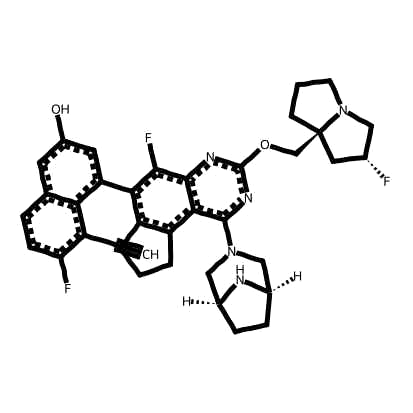 C#Cc1c(F)ccc2cc(O)cc(-c3c4c(c5c(N6C[C@H]7CC[C@@H](C6)N7)nc(OC[C@@]67CCCN6C[C@H](F)C7)nc5c3F)CCC4)c12